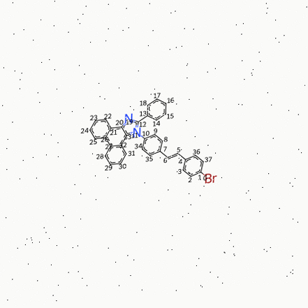 Brc1ccc(/C=C/c2ccc(-n3c(-c4ccccc4)nc4c5ccccc5c5ccccc5c43)cc2)cc1